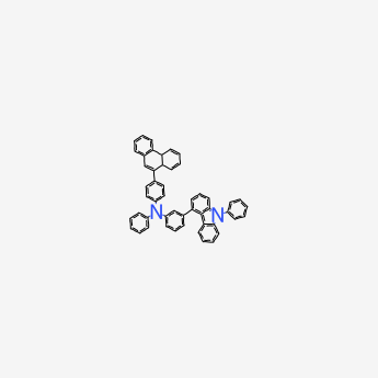 C1=CC2C(c3ccc(N(c4ccccc4)c4cccc(-c5cccc6c5c5ccccc5n6-c5ccccc5)c4)cc3)=Cc3ccccc3C2C=C1